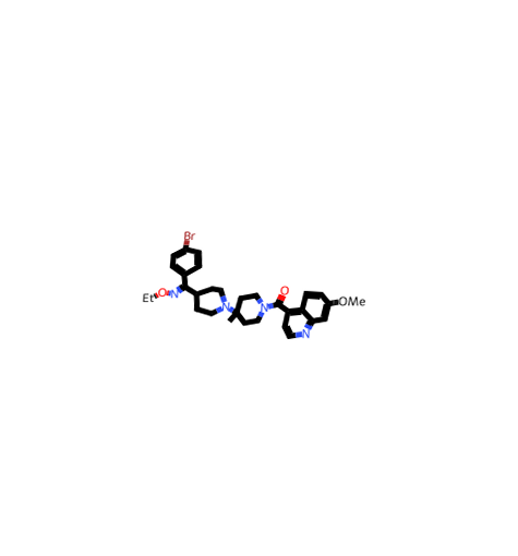 CCON=C(c1ccc(Br)cc1)C1CCN(C2(C)CCN(C(=O)c3ccnc4cc(OC)ccc34)CC2)CC1